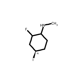 CNC1CC[C@@H](I)CC1F